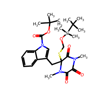 CN1C(=O)C(=O)N(C)C(Cc2cn(C(=O)OC(C)(C)C)c3ccccc23)(SCO[Si](C)(C)C(C)(C)C)C1=O